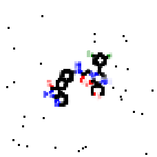 O=C(CN1C(=O)C2(CCOCC2)NCC1c1cc(F)cc(F)c1)Nc1ccc2c(c1)CC1(C2)C(=O)Nc2ncccc21